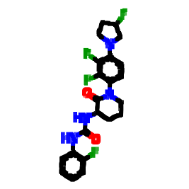 O=C(Nc1ccccc1F)N[C@@H]1CCCN(c2ccc(N3CC[C@@H](F)C3)c(F)c2F)C1=O